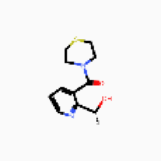 C[C@@H](O)c1ncccc1C(=O)N1CCSCC1